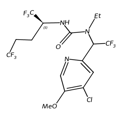 CCN(C(=O)N[C@@H](CCC(F)(F)F)C(F)(F)F)C(c1cc(Cl)c(OC)cn1)C(F)(F)F